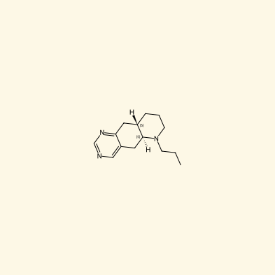 CCCN1CCC[C@H]2Cc3ncncc3C[C@@H]21